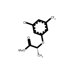 COC(=O)[C@@H](C)Oc1cc(Cl)cc(C(F)(F)F)c1